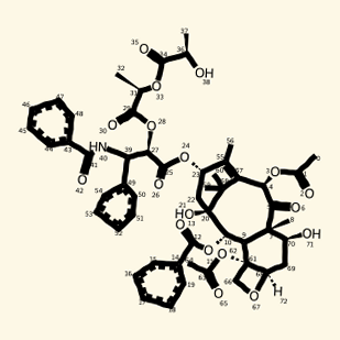 CC(=O)O[C@H]1C(=O)[C@@]2(C)C([C@H](OC(=O)c3ccccc3)[C@]3(O)C[C@H](OC(=O)[C@H](OC(=O)[C@@H](C)OC(=O)[C@@H](C)O)C(NC(=O)c4ccccc4)c4ccccc4)C(C)=C1C3(C)C)[C@]1(OC(C)=O)CO[C@@H]1C[C@@H]2O